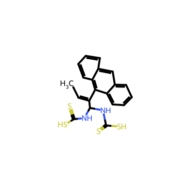 CC=C(c1c2ccccc2cc2ccccc12)C(NC(=S)S)NC(=S)S